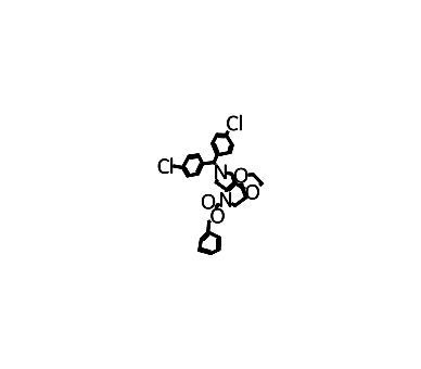 O=C(OCc1ccccc1)N1CCC2(OCCO2)C2=C1CN(C(c1ccc(Cl)cc1)c1ccc(Cl)cc1)C2